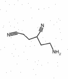 N#CCCC(C#N)CCN